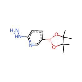 CC1(C)OB(c2ccc(NN)nc2)OC1(C)C